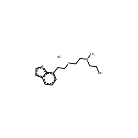 CN(CCO)CCOCCc1cccc2ccsc12.Cl